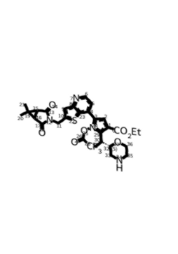 CCOC(=O)c1cc(-c2ccnc3cc(CN4C(=O)C5C(C4=O)C5(C)C)sc23)n(OC(=O)C(F)(F)F)c1C(C)[C@H]1CNCCO1